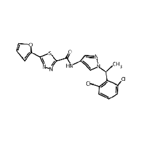 CC(c1c(Cl)cccc1Cl)n1cc(NC(=O)c2nnc(-c3ccco3)s2)cn1